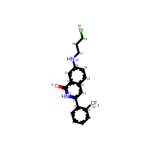 O=c1[nH]c(-c2ccccc2C(F)(F)F)cc2ccc(NCCCBr)cc12